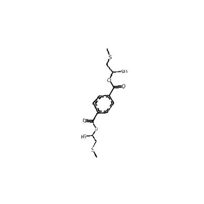 CSCC(S)OC(=O)c1ccc(C(=O)OC(S)CSC)cc1